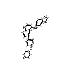 c1cc(Nc2ccc3scnc3c2)c2cc(-c3ccc(OC4CCOCC4)nc3)ccc2n1